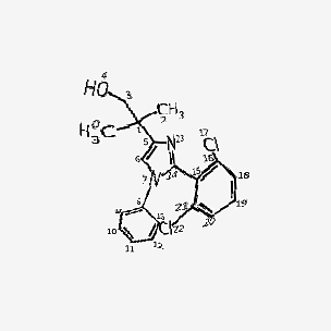 CC(C)(CO)c1cn(-c2ccccc2)c(-c2c(Cl)cccc2Cl)n1